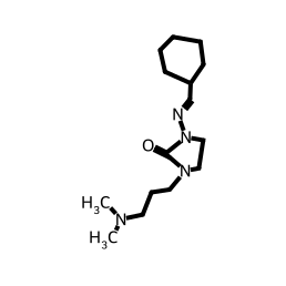 CN(C)CCCN1CCN(N=CC2CCCCC2)C1=O